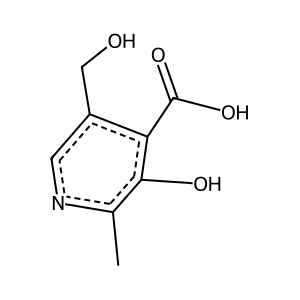 Cc1ncc(CO)c(C(=O)O)c1O